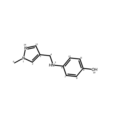 Cn1cc(CNc2ccc(O)cc2)cn1